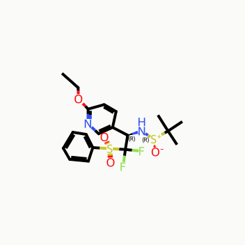 CCOc1ccc([C@@H](N[S@@+]([O-])C(C)(C)C)C(F)(F)S(=O)(=O)c2ccccc2)cn1